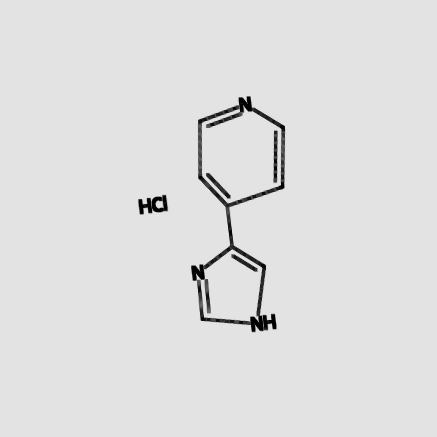 Cl.c1cc(-c2c[nH]cn2)ccn1